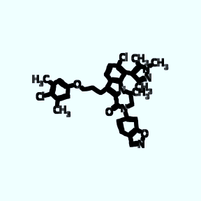 Cc1cc(OCCCc2c3n(c4c(-c5c(C)nn(C)c5C)c(Cl)ccc24)C(C)CN(c2ccc4cnoc4c2)C3=O)cc(C)c1Cl